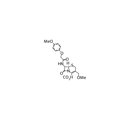 COCC1=C(C(=O)O)N2C(=O)C(NC(=O)COc3ccc(OC)cc3)[C@H]2SC1